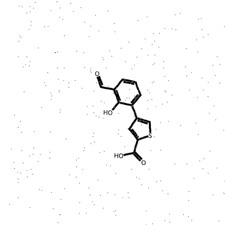 O=Cc1cccc(-c2csc(C(=O)O)c2)c1O